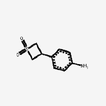 Nc1ccc(C2CS(=O)(=O)C2)cc1